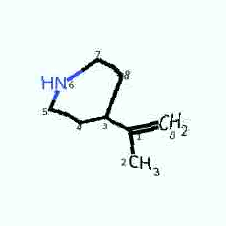 C=C(C)C1CCNCC1